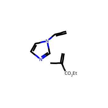 C=C(C)C(=O)OCC.C=Cn1ccnc1